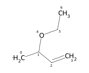 [CH2]C(C=C)OCC